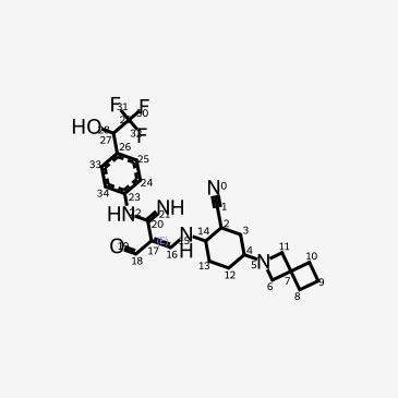 N#CC1CC(N2CC3(CCC3)C2)CCC1N/C=C(/C=O)C(=N)Nc1ccc(C(O)C(F)(F)F)cc1